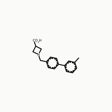 Cc1cccc(-c2ccc(CN3CC(C(=O)O)C3)cc2)c1